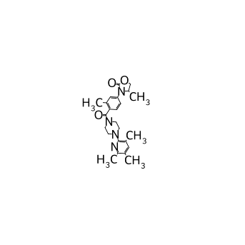 Cc1cc(N2C(=O)OCC2C)ccc1C(=O)N1CCN(c2nc(C)c(C)cc2C)CC1